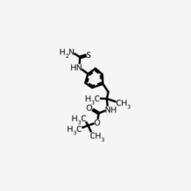 CC(C)(Cc1ccc(NC(N)=S)cc1)NC(=O)OC(C)(C)C